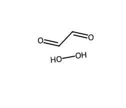 O=CC=O.OO